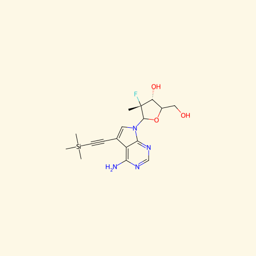 C[C@]1(F)C(n2cc(C#C[Si](C)(C)C)c3c(N)ncnc32)OC(CO)[C@H]1O